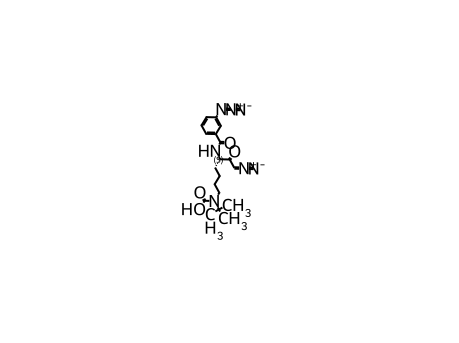 CC(C)(C)N(CCCC[C@H](NC(=O)c1cccc(N=[N+]=[N-])c1)C(=O)C=[N+]=[N-])C(=O)O